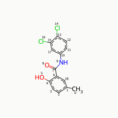 Cc1ccc(O)c(C(=O)Nc2ccc(Cl)c(Cl)c2)c1